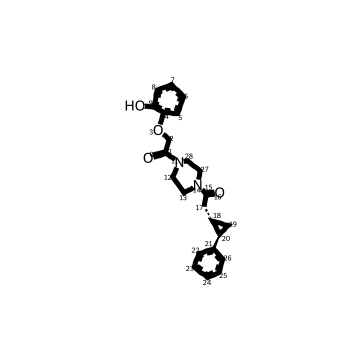 O=C(COc1ccccc1O)N1CCN(C(=O)C[C@@H]2C[C@H]2c2ccccc2)CC1